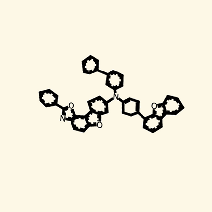 C1=C(c2cccc3c2oc2ccccc23)CCC(N(c2cccc(-c3ccccc3)c2)c2ccc3c(c2)oc2ccc4nc(-c5ccccc5)oc4c23)=C1